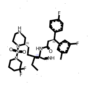 CC/C(CC[C@H]1CNCCN1S(=O)(=O)N1CCCC(F)(F)C1)=C(\C=N)NC(=O)C[C@@H](c1ccc(F)cc1)c1cc(C)cc(F)c1